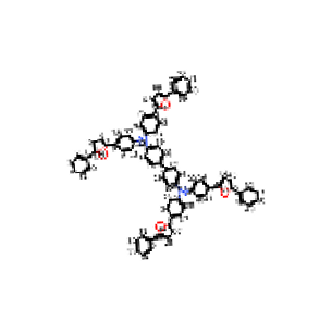 c1ccc(-c2ccc(-c3ccc(N(c4ccc(-c5ccc(N(c6ccc(-c7ccc(-c8ccccc8)o7)cc6)c6ccc(-c7ccc(-c8ccccc8)o7)cc6)cc5)cc4)c4ccc(-c5ccc(-c6ccccc6)o5)cc4)cc3)o2)cc1